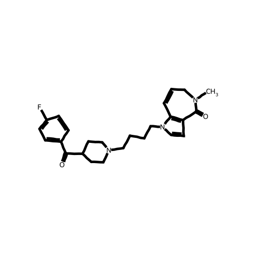 CN1CC=Cc2c(ccn2CCCCN2CCC(C(=O)c3ccc(F)cc3)CC2)C1=O